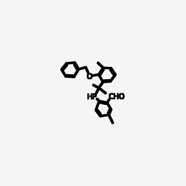 Cc1ccc(PC(C)(C)c2cccc(C)c2OCc2ccccc2)c(C=O)c1